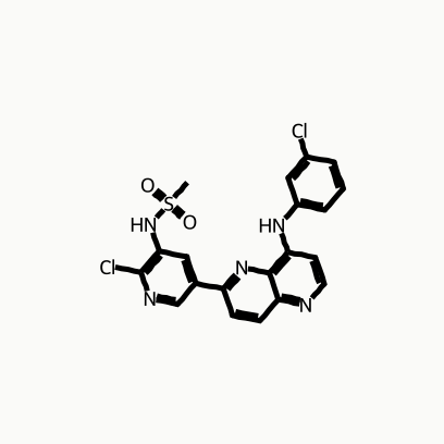 CS(=O)(=O)Nc1cc(-c2ccc3nccc(Nc4cccc(Cl)c4)c3n2)cnc1Cl